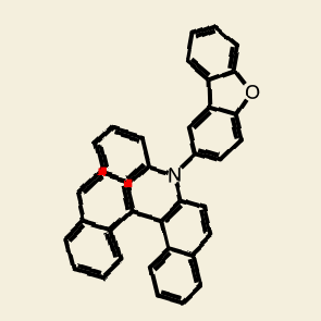 c1ccc(N(c2ccc3oc4ccccc4c3c2)c2ccc3ccccc3c2-c2cccc3ccccc23)cc1